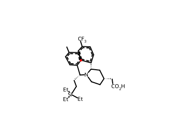 CC[Si](CC)(CC)CC[C@H](c1ccc(C)cc1)N1CC[C@@H](CC(=O)O)C[C@H]1c1ccc(C(F)(F)F)cc1